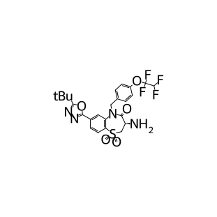 CC(C)(C)c1nnc(-c2ccc3c(c2)N(Cc2ccc(OC(F)(F)C(F)F)cc2)C(=O)[C@@H](N)CS3(=O)=O)o1